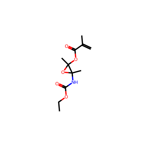 C=C(C)C(=O)OC1(C)OC1(C)NC(=O)OCC